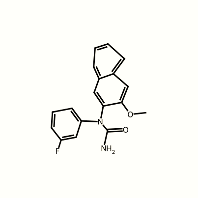 COc1cc2ccccc2cc1N(C(N)=O)c1cccc(F)c1